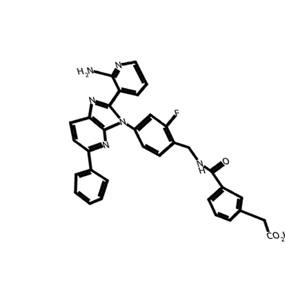 Nc1ncccc1-c1nc2ccc(-c3ccccc3)nc2n1-c1ccc(CNC(=O)c2cccc(CC(=O)O)c2)c(F)c1